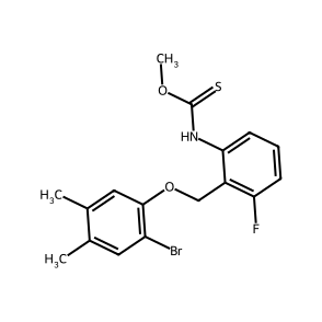 COC(=S)Nc1cccc(F)c1COc1cc(C)c(C)cc1Br